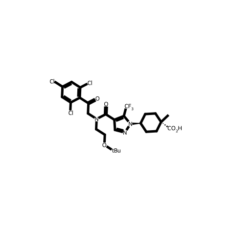 CC(C)(C)OCCN(CC(=O)c1c(Cl)cc(Cl)cc1Cl)C(=O)c1cnn([C@H]2CC[C@](C)(C(=O)O)CC2)c1C(F)(F)F